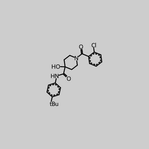 CC(C)(C)c1ccc(NC(=O)C2(O)CCN(C(=O)c3ccccc3Cl)CC2)cc1